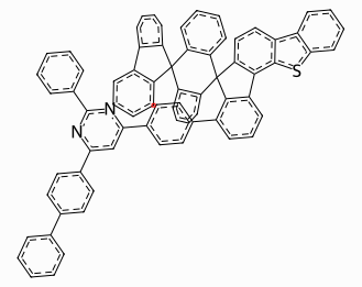 c1ccc(-c2ccc(-c3cc(-c4ccc(-c5cccc6c5C5(c7ccccc7C7(c8ccccc8-c8ccccc87)c7ccccc75)c5ccc7c(sc8ccccc87)c5-6)cc4)nc(-c4ccccc4)n3)cc2)cc1